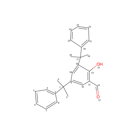 CC(C)(c1ccccc1)c1cc(C=O)c(O)c(C(C)(C)c2ccccc2)c1